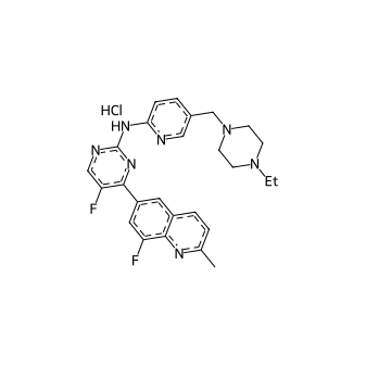 CCN1CCN(Cc2ccc(Nc3ncc(F)c(-c4cc(F)c5nc(C)ccc5c4)n3)nc2)CC1.Cl